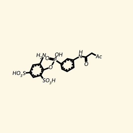 CC(=O)CC(=O)Nc1cccc(P(=O)(O)Oc2c(N)cc(S(=O)(=O)O)cc2S(=O)(=O)O)c1